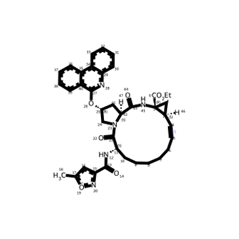 CCOC(=O)[C@@]12C[C@H]1/C=C\CCCCC[C@H](NC(=O)c1cc(C)on1)C(=O)N1C[C@H](Oc3nc4ccccc4c4ccccc34)C[C@H]1C(=O)N2